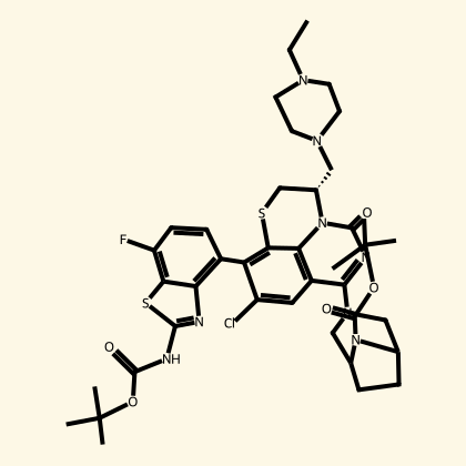 CCN1CCN(C[C@H]2CSc3c(-c4ccc(F)c5sc(NC(=O)OC(C)(C)C)nc45)c(Cl)cc4c(N5CC6CCC(C5)N6C(=O)OC(C)(C)C)nc(=O)n2c34)CC1